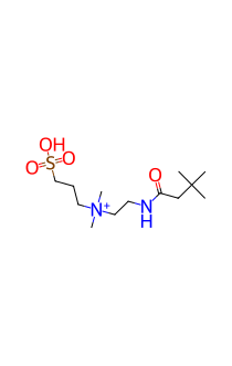 CC(C)(C)CC(=O)NCC[N+](C)(C)CCCS(=O)(=O)O